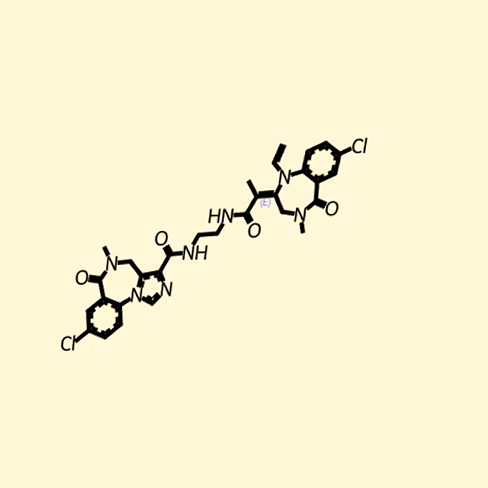 C=CN1/C(=C(\C)C(=O)NCCNC(=O)c2ncn3c2CN(C)C(=O)c2cc(Cl)ccc2-3)CN(C)C(=O)c2cc(Cl)ccc21